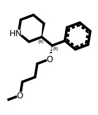 COCCCO[C@@H](c1ccccc1)[C@@H]1CCCNC1